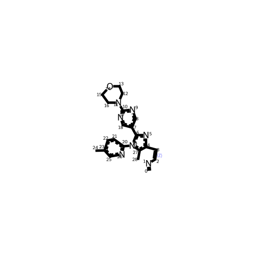 C=N/C=C\c1nc(-c2cnc(N3CCOCC3)nc2)n(-c2ccc(C)cn2)c1C